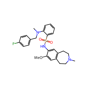 COc1cc2c(cc1NS(=O)(=O)c1ccccc1N(C)Cc1ccc(F)cc1)CCN(C)CC2